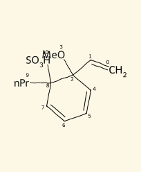 C=CC1(OC)C=CC=CC1(CCC)S(=O)(=O)O